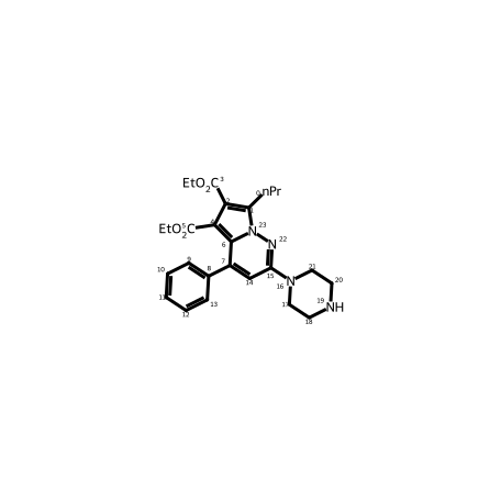 CCCc1c(C(=O)OCC)c(C(=O)OCC)c2c(-c3ccccc3)cc(N3CCNCC3)nn12